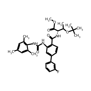 COC(=O)[C@@H](NC(=O)c1ccc(-c2cccc(F)c2)cc1NC(=O)Nc1c(C)cc(C)cc1C)C(C)OC(C)(C)C